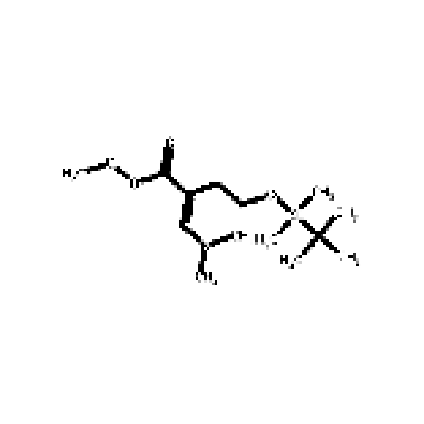 COOC(=O)C(=CN(C)C)CCO[Si](C)(C)C(C)(C)C